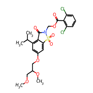 COCC(COc1cc(C(C)C)c2c(c1)S(=O)(=O)N(COC(=O)c1c(Cl)cccc1Cl)C2=O)OC